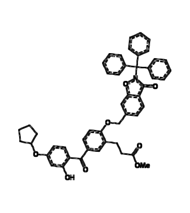 COC(=O)CCc1cc(C(=O)c2ccc(OC3CCCC3)cc2O)ccc1OCc1ccc2c(=O)n(C(c3ccccc3)(c3ccccc3)c3ccccc3)oc2c1